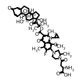 COc1c(N2CCN(C(=O)C[C@H](N)C(=O)O)C(C)C2)c(F)c(C)c2c(=O)c(C(=O)OC(C)(C)C(=O)[C@@]3(O)CC[C@H]4[C@@H]5CCC6=CC(=O)C=C[C@]6(C)[C@H]5[C@@H](O)C[C@@]43C)c(C)n(C3CC3)c12